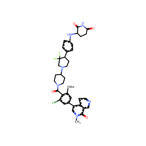 COc1cc(-c2cn(C)c(=O)c3cnccc23)cc(Cl)c1C(=O)N1CCC(N2CCC(c3ccc(NC4CCC(=O)NC4=O)cc3)C(F)(F)C2)CC1